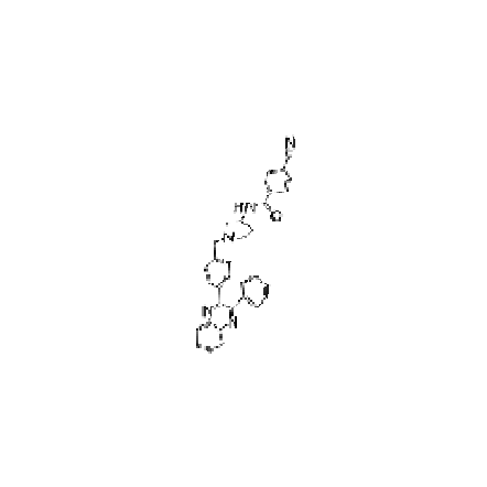 N#Cc1ccc(C(=O)NC2CCN(Cc3ccc(-c4nc5ccccc5nc4-c4ccccc4)cc3)C2)cc1